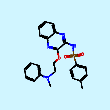 Cc1ccc(S(=O)(=O)Nc2nc3ccccc3nc2OCCN(C)c2ccccc2)cc1